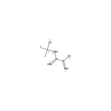 CCC(=N)C(=N)NC(C)(C)CC